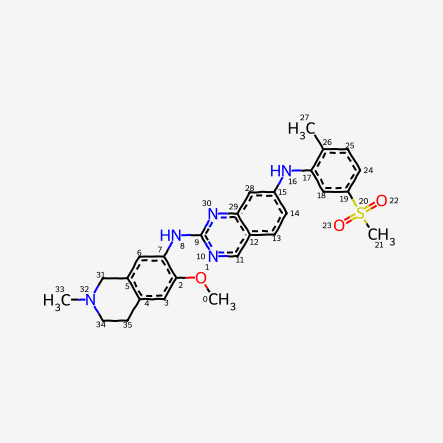 COc1cc2c(cc1Nc1ncc3ccc(Nc4cc(S(C)(=O)=O)ccc4C)cc3n1)CN(C)CC2